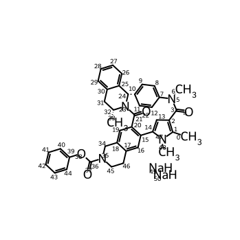 Cc1c(C(=O)N(C)c2cc[c]cc2)cc(-c2cc3c(cc2C(=O)N2Cc4ccccc4C[C@H]2C)CN(C(=O)Oc2ccccc2)CC3)n1C.[NaH].[NaH]